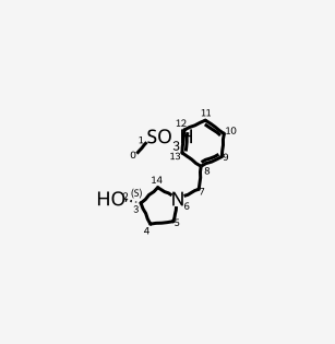 CS(=O)(=O)O.O[C@H]1CCN(Cc2ccccc2)C1